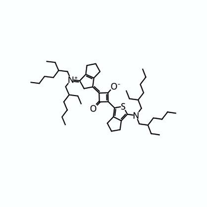 CCCCC(CC)CN(CC(CC)CCCC)c1sc(C2=C([O-])/C(=C3/CC(=[N+](CC(CC)CCCC)CC(CC)CCCC)C4=C3CCC4)C2=O)c2c1CCC2